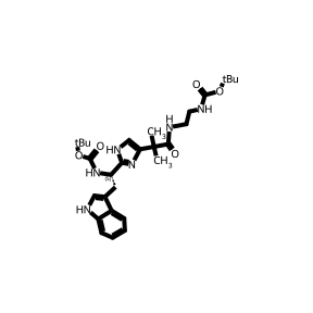 CC(C)(C)OC(=O)NCCNC(=O)C(C)(C)c1c[nH]c([C@H](Cc2c[nH]c3ccccc23)NC(=O)OC(C)(C)C)n1